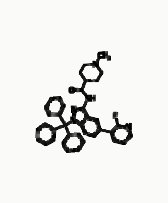 CN1CCC(C(=O)Nc2nn(C(c3ccccc3)(c3ccccc3)c3ccccc3)c3ccc(-c4cccnc4F)cc23)CC1